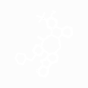 C=C1CC2C(CCc3ccc4c(oc5ncccc54)c3-c3cc(CC4CCCCC4)cc[n+]31)c1ccccc1-c1cc(C(C)C)c([Si](C)(C)C)c[n+]12